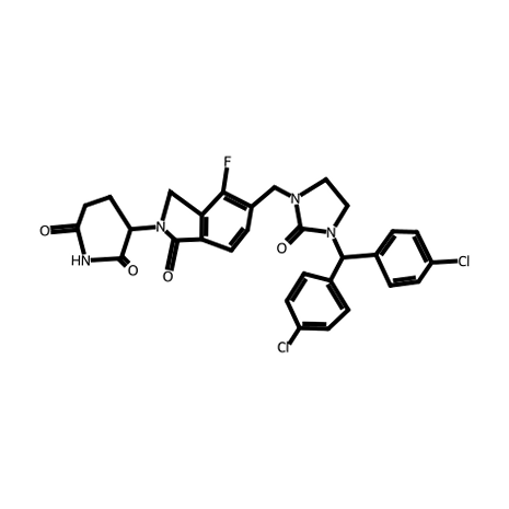 O=C1CCC(N2Cc3c(ccc(CN4CCN(C(c5ccc(Cl)cc5)c5ccc(Cl)cc5)C4=O)c3F)C2=O)C(=O)N1